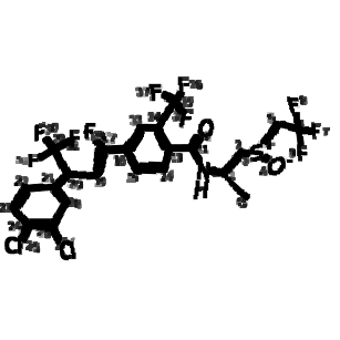 C[C@H](C[S+]([O-])CC(F)(F)F)NC(=O)c1ccc(/C(F)=C/C(c2ccc(Cl)c(Cl)c2)C(F)(F)F)cc1C(F)(F)F